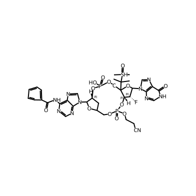 CC(C)(C12COP(=O)(O)O[C@@H]3CC(COP(=O)(OCCC#N)O[C@H]1[C@@H](F)C(n1cnc4c(=O)[nH]cnc41)O2)OC3n1cnc2c(NC(=O)c3ccccc3)ncnc21)[SH](C)(C)=O